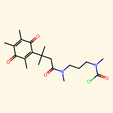 CC1=C(C)C(=O)C(C(C)(C)CC(=O)N(C)CCCN(C)C(=O)Cl)=C(C)C1=O